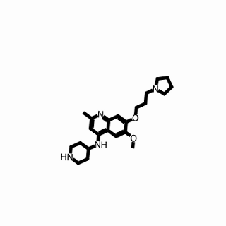 COc1cc2c(NC3CCNCC3)cc(C)nc2cc1OCCCN1CCCC1